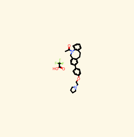 CC(=O)N1Cc2ccc(-c3ccc(OCCN4CCCC4)cc3)cc2CCc2ccccc21.O=C(O)C(F)(F)F